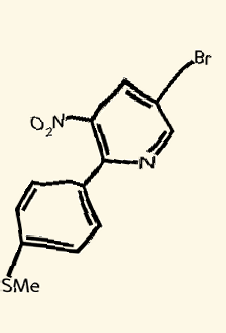 CSc1ccc(-c2ncc(Br)cc2[N+](=O)[O-])cc1